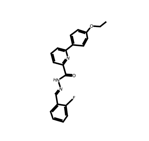 CCOc1ccc(-c2cccc(C(=O)NN=Cc3ccccc3F)n2)cc1